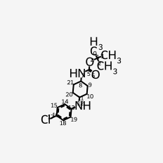 CC(C)(C)OC(=O)NC1CCC(Nc2ccc(Cl)cc2)CC1